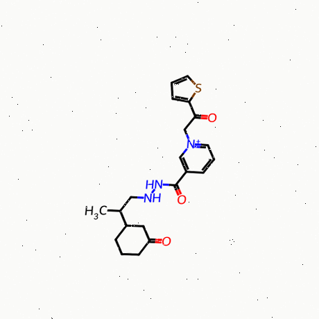 CC(CNNC(=O)c1ccc[n+](CC(=O)c2cccs2)c1)C1CCCC(=O)C1